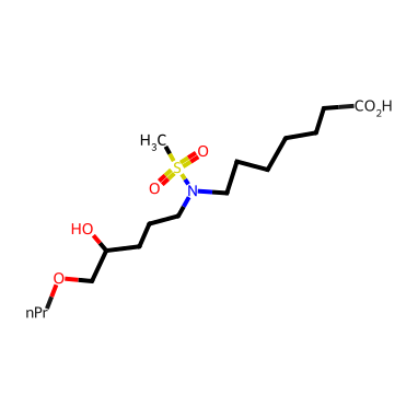 CCCOCC(O)CCCN(CCCCCCC(=O)O)S(C)(=O)=O